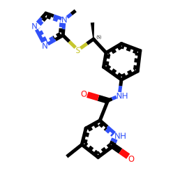 Cc1cc(C(=O)Nc2cccc([C@H](C)Sc3nncn3C)c2)[nH]c(=O)c1